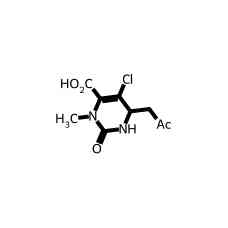 CC(=O)CC1NC(=O)N(C)C(C(=O)O)=C1Cl